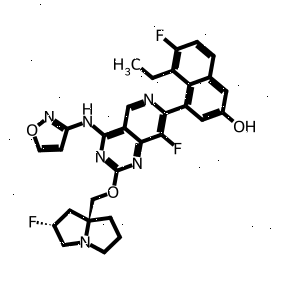 CCc1c(F)ccc2cc(O)cc(-c3ncc4c(Nc5ccon5)nc(OC[C@@]56CCCN5C[C@H](F)C6)nc4c3F)c12